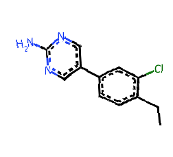 CCc1ccc(-c2cnc(N)nc2)cc1Cl